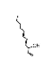 C=CC(O)C=CC=CCCCC